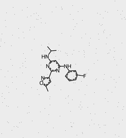 Cc1cc(-c2nc(Nc3cccc(F)c3)cc(NC(C)C)n2)no1